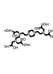 CCCCCCCCCCC(O)CN(CCN1CCN(CCN(CC(O)CCCCCCCCCC)CC(CCCCCCCCCC)N=O)CC1)CCN(CC(O)CCCCCCCCCC)CC(CCCCCCCCCC)N=O